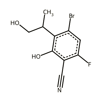 CC(CO)c1c(Br)cc(F)c(C#N)c1O